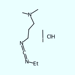 CCN=C=NCCCN(C)C.CI.Cl